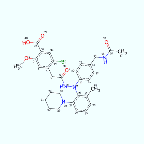 COc1cc(CC(=O)NN(c2ccc(CNC(C)=O)cc2)c2c(C)cccc2N2CCCCC2)c(Br)cc1C(=O)O